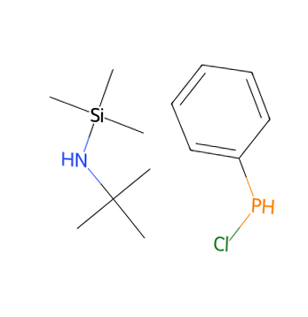 CC(C)(C)N[Si](C)(C)C.ClPc1ccccc1